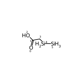 O=C(O)C[SiH2][SiH3]